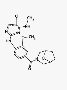 CNc1nc(Nc2ccc(C(=O)N3CC4CCC(C3)O4)cc2OC)ncc1Cl